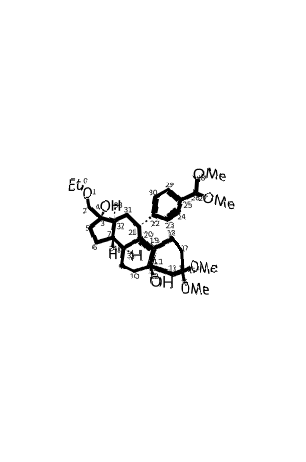 CCOC[C@]1(O)CC[C@H]2[C@@H]3CC[C@@]4(O)CC(OC)(OC)CCC4=C3[C@@H](c3ccc(C(OC)OC)cc3)C[C@@]21C